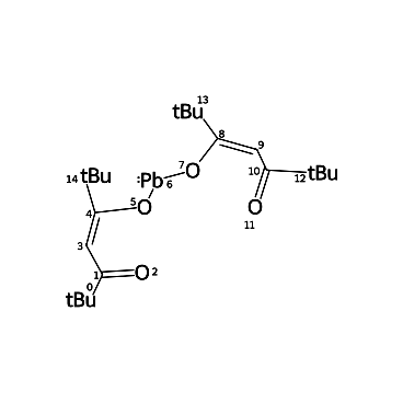 CC(C)(C)C(=O)/C=C(\[O][Pb][O]/C(=C\C(=O)C(C)(C)C)C(C)(C)C)C(C)(C)C